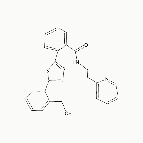 O=C(NCCc1ccccn1)c1ccccc1-c1ncc(-c2ccccc2CO)s1